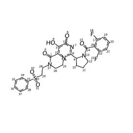 O=C1c2c(O)c(=O)nc(C3CCCN3C(=O)c3c(F)cccc3F)n2CCN1CCS(=O)(=O)c1ccccc1